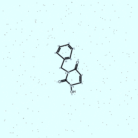 O=c1ccn(O)c(=O)n1Cc1ccccc1